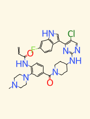 C=CC(=O)Nc1ccc(C(=O)N2CCC(Nc3ncc(Cl)c(-c4c[nH]c5cc(F)ccc45)n3)CC2)cc1N1CCN(C)CC1